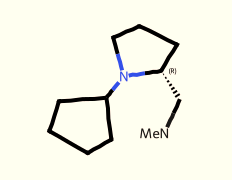 CNC[C@H]1CCCN1C1CCCC1